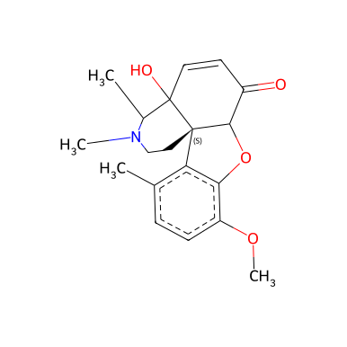 COc1ccc(C)c2c1OC1C(=O)C=CC3(O)C(C)N(C)CC[C@]213